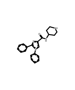 O=C(NC1CCNCC1)c1cn(-c2ccccc2)c(-c2ccccc2)n1